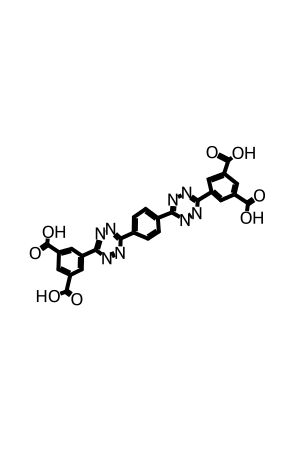 O=C(O)c1cc(C(=O)O)cc(-c2nnc(-c3ccc(-c4nnc(-c5cc(C(=O)O)cc(C(=O)O)c5)nn4)cc3)nn2)c1